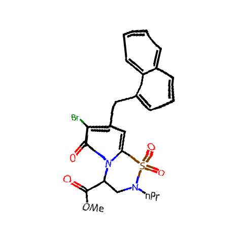 CCCN1CC(C(=O)OC)n2c(cc(Cc3cccc4ccccc34)c(Br)c2=O)S1(=O)=O